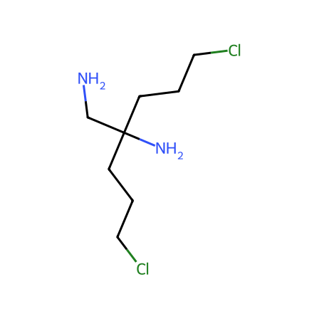 NCC(N)(CCCCl)CCCCl